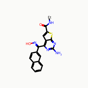 CCNC(=O)c1cc2c(C(=NO)c3ccc4ccccc4c3)nc(N)nc2s1